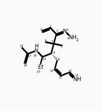 C=C/C(=N/N)C(C)(C)[C@H](C/C=C\C=N)C(CC)NC(=C)C